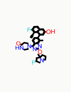 C#Cc1c(F)ccc2cc(O)cc(-c3ccc4c(N5CCNC(=O)CC5)nc(OCC56CCCN5CC(F)C6)nc4c3C)c12